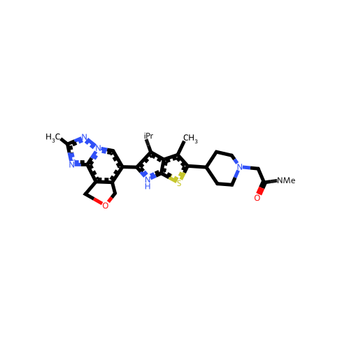 CNC(=O)CN1CCC(c2sc3[nH]c(-c4cn5nc(C)nc5c5c4COC5)c(C(C)C)c3c2C)CC1